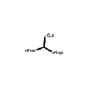 CCCCCCCCC(CCCCC)CCCCCCC